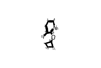 Ic1cccnc1OC1CCC1